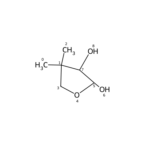 CC1(C)COC(O)C1O